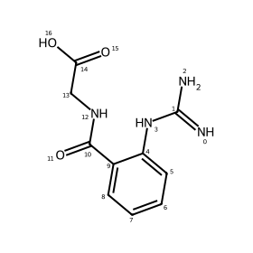 N=C(N)Nc1ccccc1C(=O)NCC(=O)O